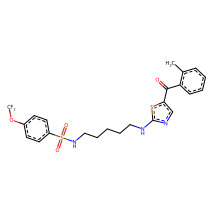 Cc1ccccc1C(=O)c1cnc(NCCCCCNS(=O)(=O)c2ccc(OC(F)(F)F)cc2)s1